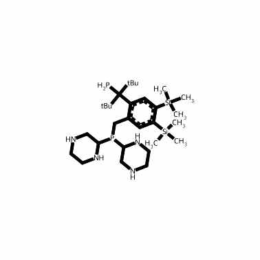 CC(C)(C)C(P)(c1cc([Si](C)(C)C)c([Si](C)(C)C)cc1CP(C1CNCCN1)C1CNCCN1)C(C)(C)C